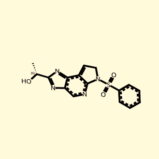 C[C@@H](O)C1=Nc2cnc3c(c2=N1)=CCN3S(=O)(=O)c1ccccc1